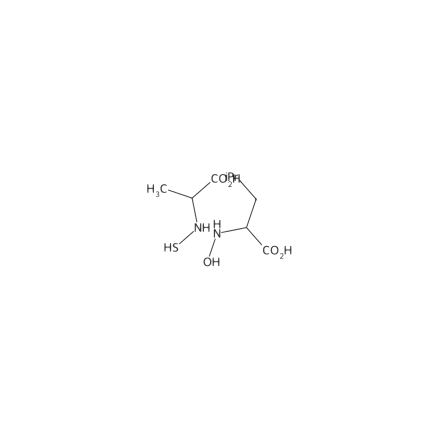 CC(C)CC(NO)C(=O)O.CC(NS)C(=O)O